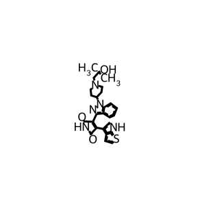 CC(C)(O)CN1CCC(n2nc(C3=C(c4c[nH]c5sccc45)C(=O)NC3=O)c3ccccc32)CC1